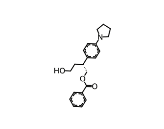 O=C(OC[C@H](CCO)c1ccc(N2CCCC2)cc1)c1ccccc1